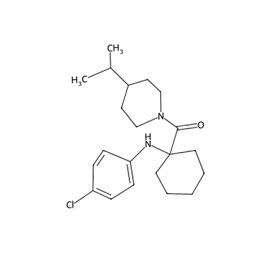 CC(C)C1CCN(C(=O)C2(Nc3ccc(Cl)cc3)CCCCC2)CC1